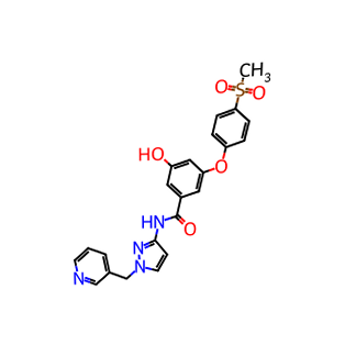 CS(=O)(=O)c1ccc(Oc2cc(O)cc(C(=O)Nc3ccn(Cc4cccnc4)n3)c2)cc1